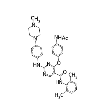 CC(=O)Nc1ccc(Oc2nc(Nc3ccc(N4CCN(C)CC4)cc3)ncc2C(=O)Nc2c(C)cccc2C)cc1